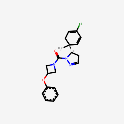 CC1([C@@H]2CC=NN2C(=O)N2CC(Oc3ccccc3)C2)C=CC(Cl)=CC1